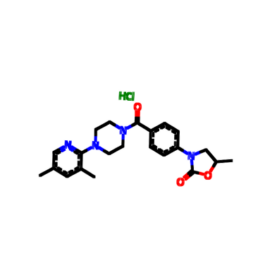 Cc1cnc(N2CCN(C(=O)c3ccc(N4CC(C)OC4=O)cc3)CC2)c(C)c1.Cl